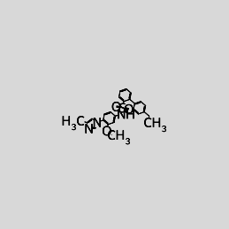 CCc1ccc(-c2ccccc2S(=O)(=O)Nc2ccc(-n3cnc(C)c3)c(OC)c2)cc1